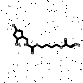 C=CC(=O)OCCCCOC(=O)NCC1CC(CC)CC1C